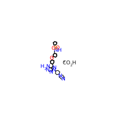 CC(=O)O.CN1CCN([C@H]2CC[C@@H](n3nc(-c4ccc(Oc5cccc(CNS(=O)(=O)c6ccccc6)c5)cc4)c4c(N)ncnc43)CC2)CC1